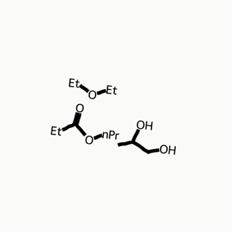 CC(O)CO.CCCOC(=O)CC.CCOCC